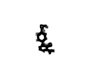 CNc1cccn([C@H]2CC[C@H](OC)CC2)c1=O